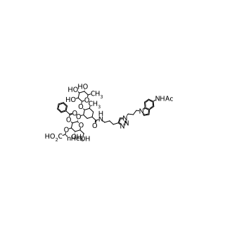 CCCCCC[C@H](OC1C(OC(=O)c2ccccc2)[C@H](O[C@@H]2CC(C(=O)NCCCc3cn(CCCn4ccc5cc(NC(C)=O)ccc54)nn3)CC(C)C2O[C@@H]2OC(C)[C@@H](O)C(O)C2O)OC(CO)[C@@H]1O)C(=O)O